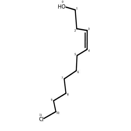 OCC/C=C\CCCCCCCl